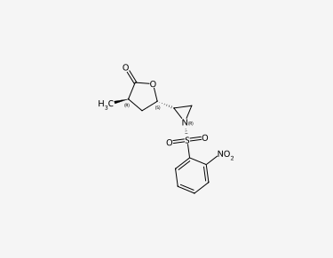 C[C@@H]1C[C@@H](C2C[N@]2S(=O)(=O)c2ccccc2[N+](=O)[O-])OC1=O